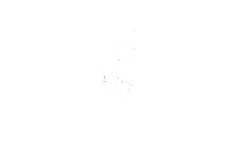 Cc1cnn2c(-c3ccc(F)cc3)coc12